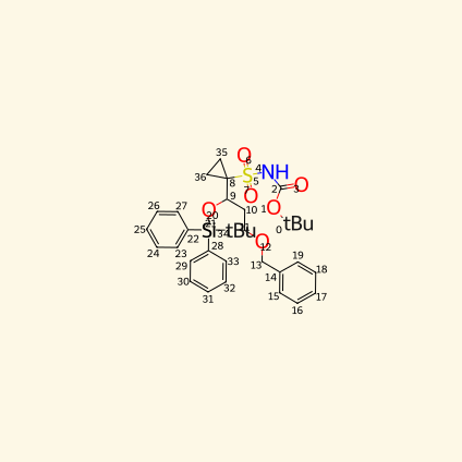 CC(C)(C)OC(=O)NS(=O)(=O)C1(C(CCOCc2ccccc2)O[Si](c2ccccc2)(c2ccccc2)C(C)(C)C)CC1